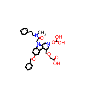 CN(CCc1ccccc1)C(=O)Cn1c2ccc(OCc3ccccc3)cc2c2c(COCC(=O)O)cncc21.O=C(O)O